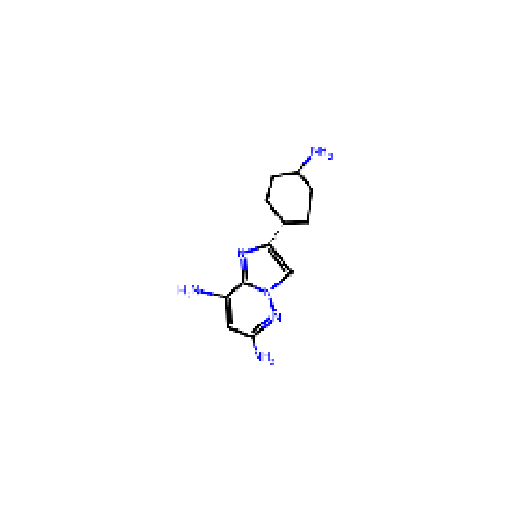 Nc1cc(N)c2nc([C@H]3CC[C@H](N)CC3)cn2n1